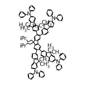 CC(C)CCC1(CCC(C)C)c2cc(-c3ccc4c(c3)C(C)(C)c3cc(N(c5ccccc5)c5ccccc5)ccc3-4)c(-c3ccc4c(c3)C(C)(C)c3cc(N(c5ccccc5)c5ccccc5)ccc3-4)cc2-c2cc(-c3ccc4c(c3)C(C)(C)c3cc(N(c5ccccc5)c5ccccc5)ccc3-4)c(-c3ccc4c(c3)C(C)(C)c3cc(N(c5ccccc5)c5ccccc5)ccc3-4)cc21